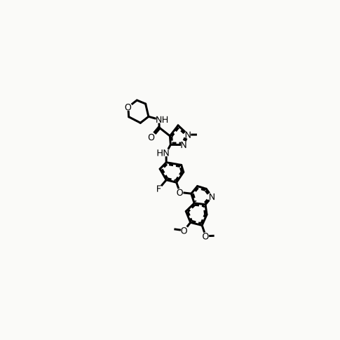 COc1cc2nccc(Oc3ccc(Nc4nn(C)cc4C(=O)NC4CCOCC4)cc3F)c2cc1OC